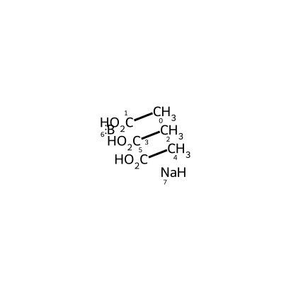 CC(=O)O.CC(=O)O.CC(=O)O.[B].[NaH]